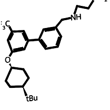 CC(C)(C)[C@H]1CC[C@H](Oc2cc(-c3cccc(CNCCC(=O)O)c3)cc(C(F)(F)F)c2)CC1